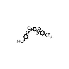 O=C(COc1ccc(CO)cc1)N1CCC(S(=O)(=O)c2ccc(C(F)(F)F)cc2)C1